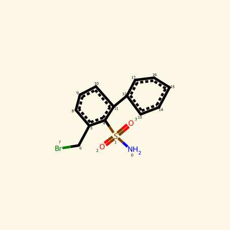 NS(=O)(=O)c1c(CBr)cccc1-c1ccccc1